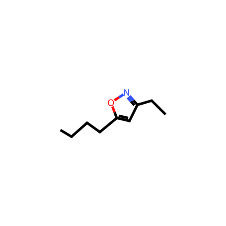 CCCCc1cc(CC)no1